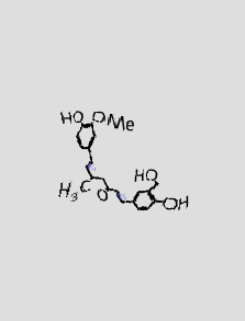 COc1cc(/C=C/C(C)CC(=O)/C=C/c2ccc(O)c(CO)c2)ccc1O